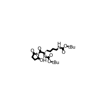 CC(C)(C)OC(=O)NCCCC[C@H](NC(=O)OC(C)(C)C)C(=O)N1C(=O)CCC1=O